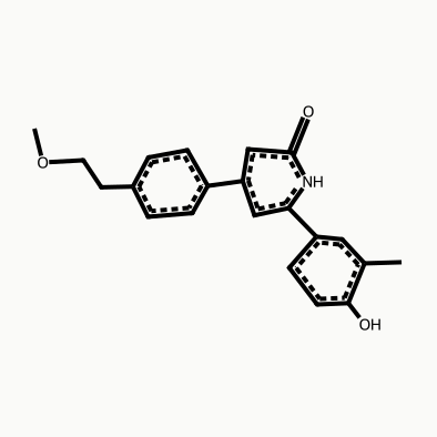 COCCc1ccc(-c2cc(-c3ccc(O)c(C)c3)[nH]c(=O)c2)cc1